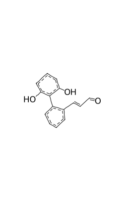 O=CC=Cc1ccccc1-c1c(O)cccc1O